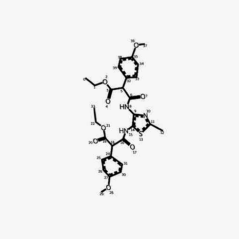 CCOC(=O)C(C(=O)Nc1nc(C)sc1NC(=O)C(C(=O)OCC)c1ccc(OC)cc1)c1ccc(OC)cc1